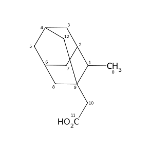 CC1C2CC3CC(C2)CC1(CC(=O)O)C3